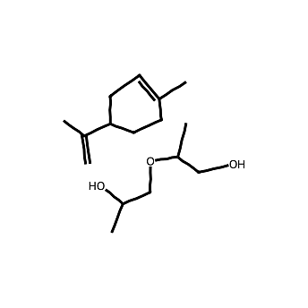 C=C(C)C1CC=C(C)CC1.CC(O)COC(C)CO